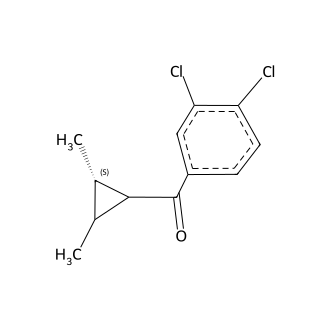 CC1C(C(=O)c2ccc(Cl)c(Cl)c2)[C@H]1C